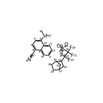 C[S+](C)c1ccc(C#N)c2ccccc12.O=S(=O)([O-])C(F)(F)C(F)(F)C1CC2CCC1C2